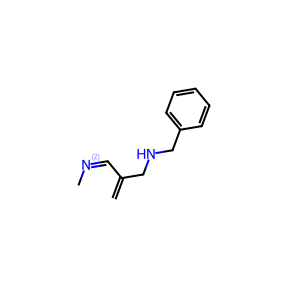 C=C(/C=N\C)CNCc1ccccc1